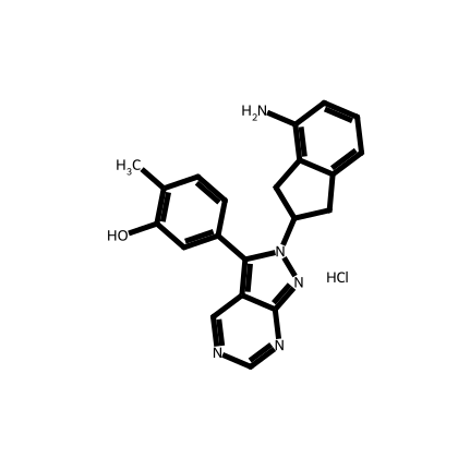 Cc1ccc(-c2c3cncnc3nn2C2Cc3cccc(N)c3C2)cc1O.Cl